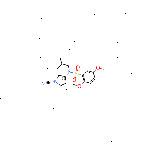 COc1ccc(OC)c(S(=O)(=O)N(CC(C)C)[C@@H]2CCN(C#N)C2)c1